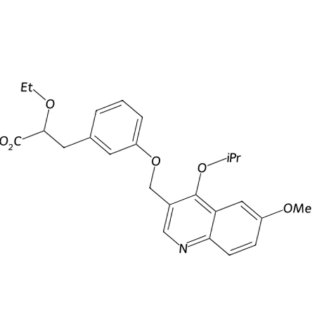 CCOC(Cc1cccc(OCc2cnc3ccc(OC)cc3c2OC(C)C)c1)C(=O)O